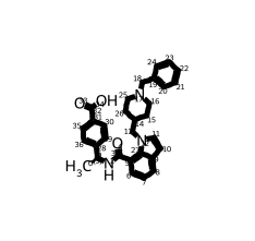 C[C@H](NC(=O)c1cccc2ccn(CC3CCN(Cc4ccccc4)CC3)c12)c1ccc(C(=O)O)cc1